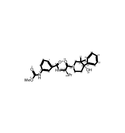 COC(=O)Nc1cccc(C(=O)N[C@@H](C(=O)N2CC[C@](O)(c3ccccc3)C(C)(C)C2)C(C)C)c1